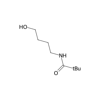 CC(C)(C)C(=O)NCCCCO